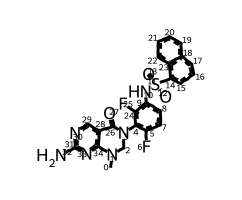 CN1CN(c2c(F)ccc(NS(=O)(=O)c3cccc4ccccc34)c2F)C(=O)c2cnc(N)nc21